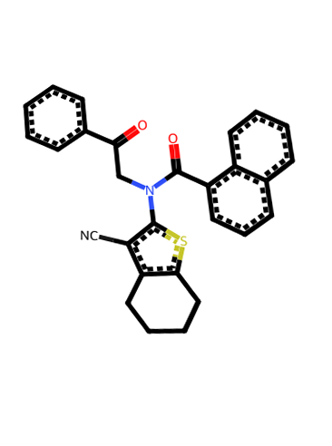 N#Cc1c(N(CC(=O)c2ccccc2)C(=O)c2cccc3ccccc23)sc2c1CCCC2